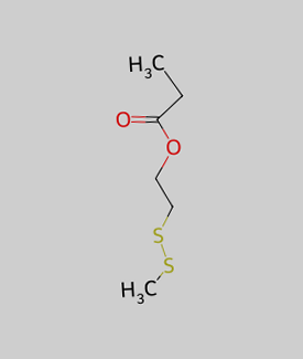 CCC(=O)OCCSSC